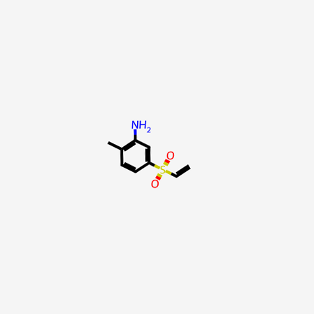 C=CS(=O)(=O)c1ccc(C)c(N)c1